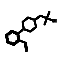 CC(C)(O)CN1CCN(c2ccccc2C=O)CC1